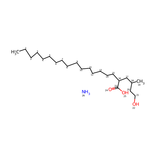 CCCCCCCCCCCCCCCCC(C[C](C)CCO)C(=O)O.N